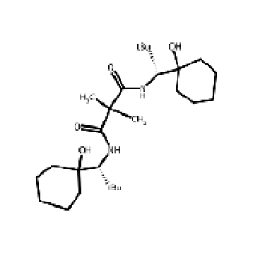 CC(C)(C(=O)N[C@H](C(C)(C)C)C1(O)CCCCC1)C(=O)N[C@H](C(C)(C)C)C1(O)CCCCC1